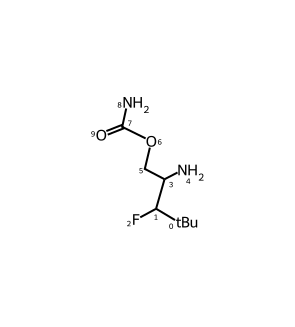 CC(C)(C)C(F)C(N)COC(N)=O